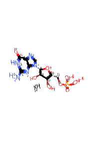 Nc1nc2c(ncn2[C@@H]2O[C@H](COP(=O)(O)O)[C@@H](O)[C@H]2O)c(=O)[nH]1.[KH]